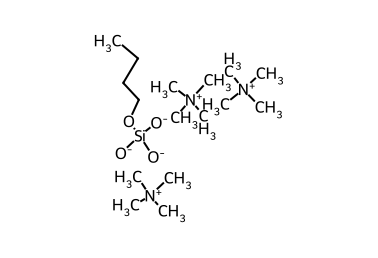 CCCCO[Si]([O-])([O-])[O-].C[N+](C)(C)C.C[N+](C)(C)C.C[N+](C)(C)C